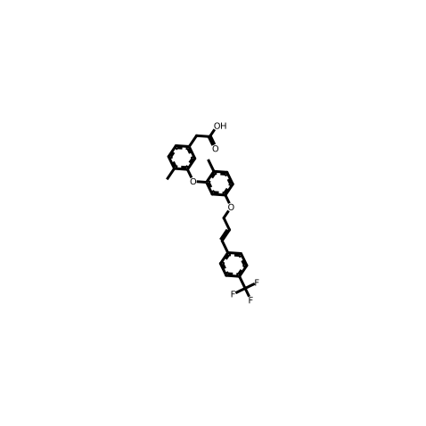 Cc1ccc(CC(=O)O)cc1Oc1cc(OCC=Cc2ccc(C(F)(F)F)cc2)ccc1C